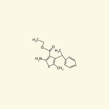 CCOC(=O)c1c(N)sc(C)c1C(C)c1ccccc1